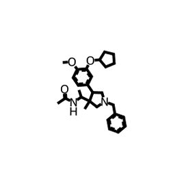 COc1ccc(C2CN(Cc3ccccc3)CC2(C)C(C)NC(C)=O)cc1OC1CCCC1